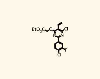 C=Cc1c(Cl)nc(-c2ccc(Cl)c(F)c2)nc1OCC(=O)OCC